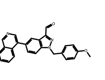 COc1ccc(Cn2nc(C=O)c3cc(-c4cncc5ccccc45)ccc32)cc1